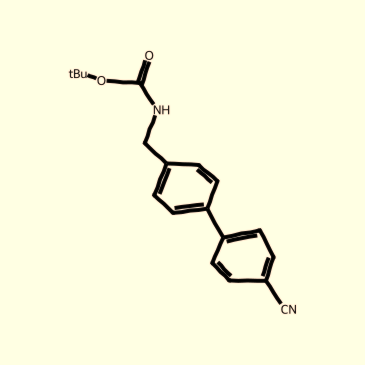 CC(C)(C)OC(=O)NCc1ccc(-c2ccc(C#N)cc2)cc1